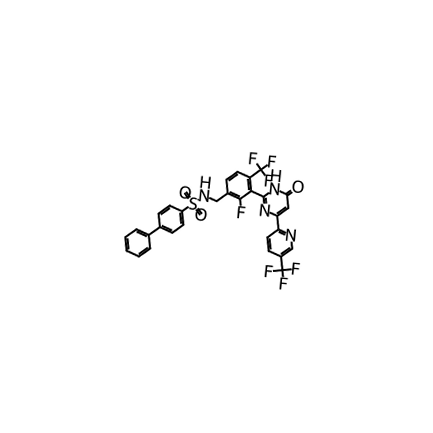 O=c1cc(-c2ccc(C(F)(F)F)cn2)nc(-c2c(C(F)(F)F)ccc(CNS(=O)(=O)c3ccc(-c4ccccc4)cc3)c2F)[nH]1